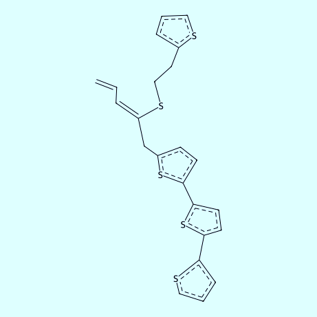 C=C/C=C(/Cc1ccc(-c2ccc(-c3cccs3)s2)s1)SCCc1cccs1